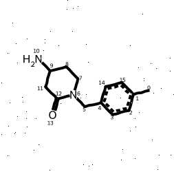 Cc1ccc(CN2CCC(N)CC2=O)cc1